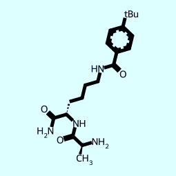 C[C@H](N)C(=O)N[C@@H](CCCCNC(=O)c1ccc(C(C)(C)C)cc1)C(N)=O